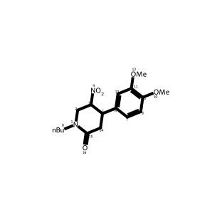 CCCCN1CC([N+](=O)[O-])C(c2ccc(OC)c(OC)c2)CC1=O